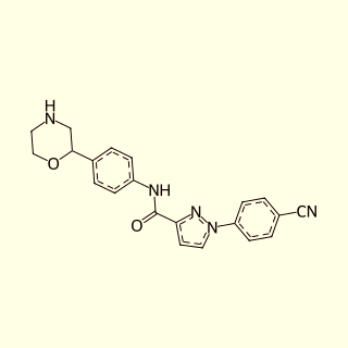 N#Cc1ccc(-n2ccc(C(=O)Nc3ccc(C4CNCCO4)cc3)n2)cc1